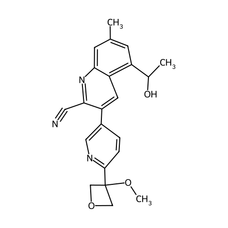 COC1(c2ccc(-c3cc4c(C(C)O)cc(C)cc4nc3C#N)cn2)COC1